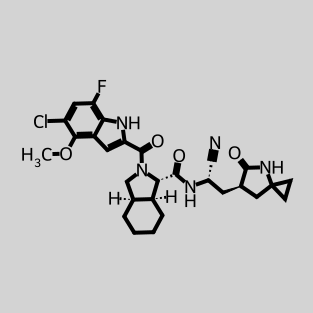 COc1c(Cl)cc(F)c2[nH]c(C(=O)N3C[C@@H]4CCCC[C@@H]4[C@H]3C(=O)N[C@H](C#N)C[C@@H]3CC4(CC4)NC3=O)cc12